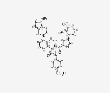 CC(C)c1nnc2n1CCN(c1cccc3c1CCN(C(=O)c1cn(-c4cccc(Cl)c4F)nn1)C3C(=O)Nc1ccc(C(=O)O)cc1)C2